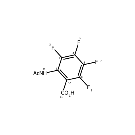 CC(=O)Nc1c(F)c(F)c(F)c(F)c1C(=O)O